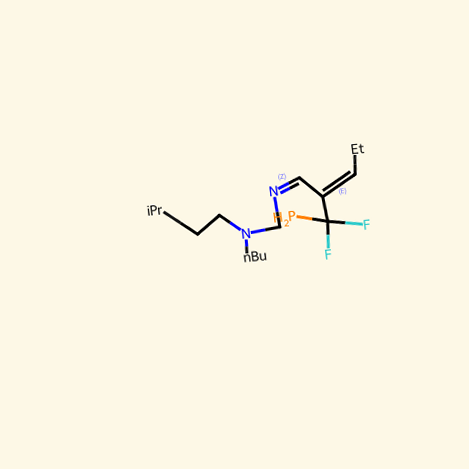 CC/C=C(\C=N/CN(CCCC)CCC(C)C)C(F)(F)P